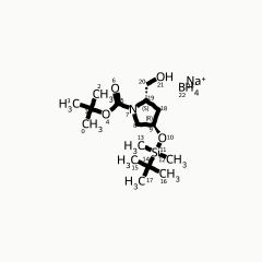 CC(C)(C)OC(=O)N1C[C@H](O[Si](C)(C)C(C)(C)C)C[C@H]1CO.[BH4-].[Na+]